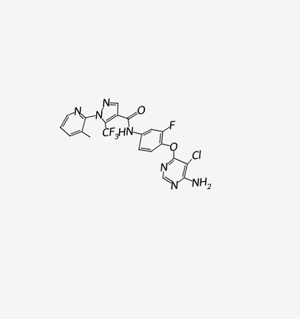 Cc1cccnc1-n1ncc(C(=O)Nc2ccc(Oc3ncnc(N)c3Cl)c(F)c2)c1C(F)(F)F